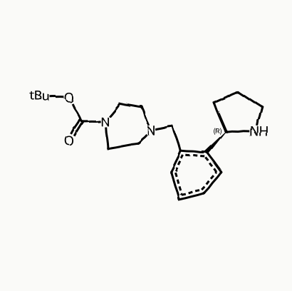 CC(C)(C)OC(=O)N1CCN(Cc2ccccc2[C@H]2CCCN2)CC1